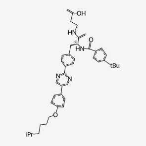 C=C(O)CCNC(=C)[C@H](Cc1ccc(-c2ncc(-c3ccc(OCCCCC(C)C)cc3)cn2)cc1)NC(=O)c1ccc(C(C)(C)C)cc1